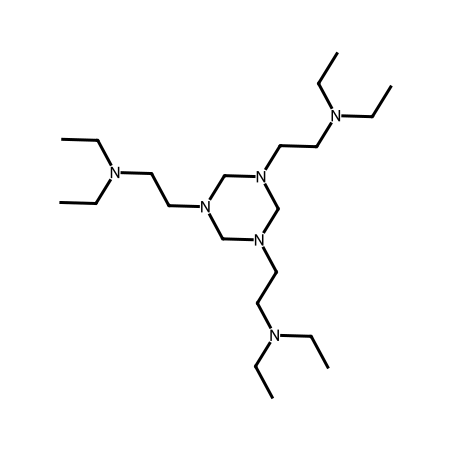 CCN(CC)CCN1CN(CCN(CC)CC)CN(CCN(CC)CC)C1